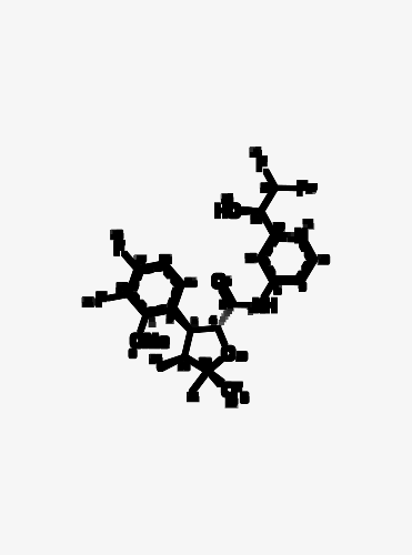 COc1c([C@H]2[C@H](C(=O)Nc3ccnc([C@@H](O)C(F)F)c3)O[C@@](C)(C(F)(F)F)[C@H]2C)ccc(F)c1F